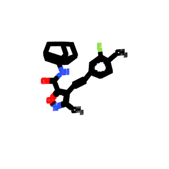 Cc1ccc(C#Cc2c(C)noc2C(=O)NC23CC4CC(CC(C4)C2)C3)cc1F